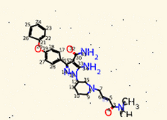 CN(C)C(=O)/C=C/CN1CCCC(n2nc(-c3ccc(Oc4ccccc4)cc3)c(C(N)=O)c2N)C1